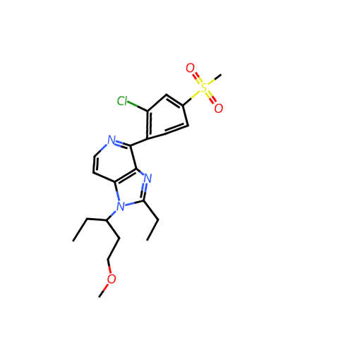 CCc1nc2c(-c3ccc(S(C)(=O)=O)cc3Cl)nccc2n1C(CC)CCOC